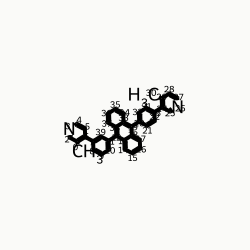 Cc1cnccc1-c1cccc(-c2c3ccccc3c(-c3ccc(-c4cnccc4C)cc3)c3ccccc23)c1